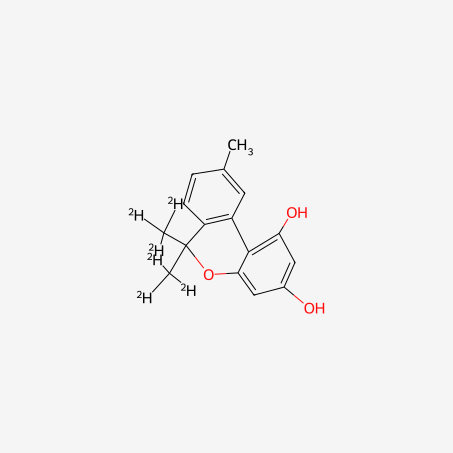 [2H]C([2H])([2H])C1(C([2H])([2H])[2H])Oc2cc(O)cc(O)c2-c2cc(C)ccc21